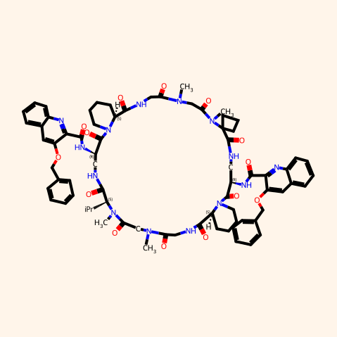 CC(C)[C@H]1C(=O)NC[C@@H](NC(=O)c2nc3ccccc3cc2OCc2ccccc2)C(=O)N2CCCC[C@H]2C(=O)NCC(=O)N(C)CC(=O)N(C)C2(CCC2)C(=O)NC[C@@H](NC(=O)c2nc3ccccc3cc2OCc2ccccc2)C(=O)N2CCCC[C@H]2C(=O)NCC(=O)N(C)CC(=O)N1C